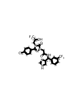 O=C(Cn1nc(-c2ccc(Cl)cc2)n(C[C@H](O)C(F)(F)F)c1=O)NC(c1cccc(C(F)(F)F)c1)C1CNC=N1